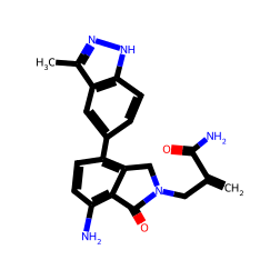 C=C(CN1Cc2c(-c3ccc4[nH]nc(C)c4c3)ccc(N)c2C1=O)C(N)=O